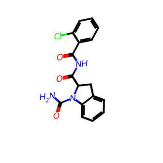 NC(=O)N1c2ccccc2CC1C(=O)NC(=O)c1ccccc1Cl